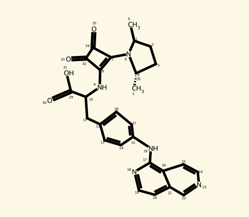 CC1CC[C@H](C)N1c1c(NC(Cc2ccc(Nc3nccc4cnccc34)cc2)C(=O)O)c(=O)c1=O